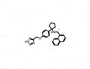 C[C@@H](NC1(c2ccc(OCc3nn[nH]n3)cc2)CCCC1)c1cccc2ccccc12